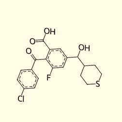 O=C(O)c1cc(C(O)C2CCSCC2)cc(F)c1C(=O)c1ccc(Cl)cc1